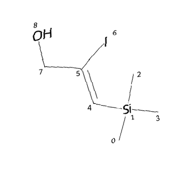 C[Si](C)(C)C=C(I)CO